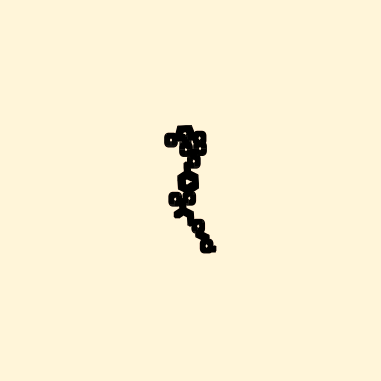 COCCOCCC(C)C(=O)Oc1ccc(COC(=O)ON2C(=O)CCC2=O)cc1